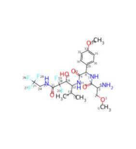 COCC(N)C(=O)NC(C(=O)NC(C(C)C)C(O)C(F)(F)C(=O)NCC(F)(F)F)c1ccc(OC)cc1